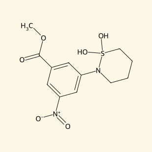 COC(=O)c1cc(N2CCCCS2(O)O)cc([N+](=O)[O-])c1